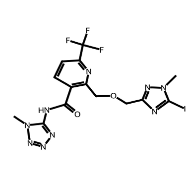 Cn1nc(COCc2nc(C(F)(F)F)ccc2C(=O)Nc2nnnn2C)nc1I